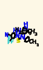 CNC(C)CC1(C)C(=N)N(c2ccc(C#N)c(C(F)(F)F)c2)C(=S)N1c1ccc(C)cc1